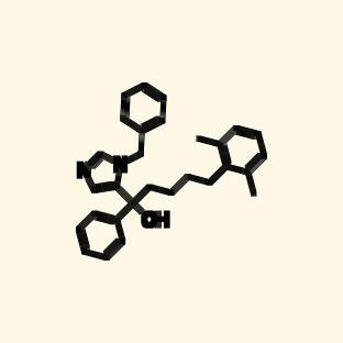 Cc1cccc(C)c1CCCCC(O)(c1ccccc1)c1cncn1Cc1ccccc1